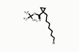 CC(C)(C)OC(=O)C1(CCCCCCCBr)CC1